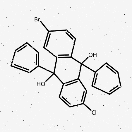 OC1(c2ccccc2)c2ccc(Br)cc2C(O)(c2ccccc2)c2ccc(Cl)cc21